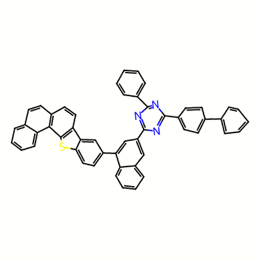 c1ccc(-c2ccc(-c3nc(-c4ccccc4)nc(-c4cc(-c5ccc6sc7c(ccc8ccc9ccccc9c87)c6c5)c5ccccc5c4)n3)cc2)cc1